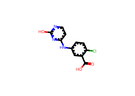 O=C(O)c1cc(Nc2ccnc(O)n2)ccc1Cl